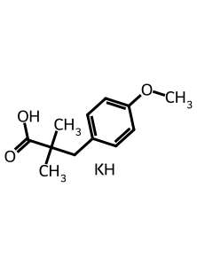 COc1ccc(CC(C)(C)C(=O)O)cc1.[KH]